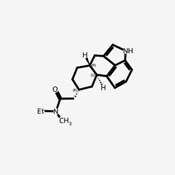 CCN(C)C(=O)C[C@@H]1CC[C@@H]2Cc3c[nH]c4cccc(c34)[C@H]2C1